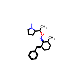 CC1CCCC(=C\c2ccccc2)/C1=N/OC(C)C1CCCN1